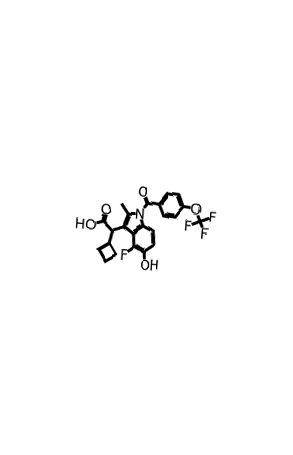 Cc1c(C(C(=O)O)C2CCC2)c2c(F)c(O)ccc2n1C(=O)c1ccc(OC(F)(F)F)cc1